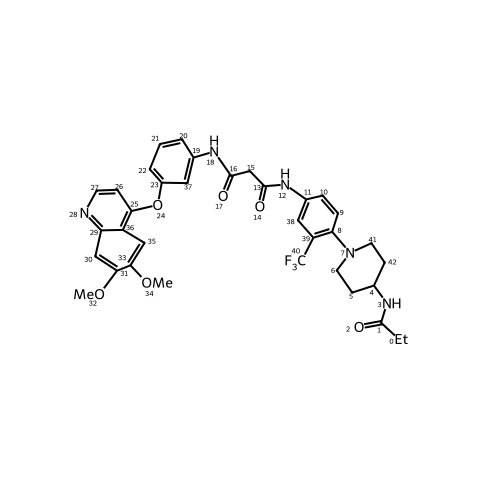 CCC(=O)NC1CCN(c2ccc(NC(=O)CC(=O)Nc3cccc(Oc4ccnc5cc(OC)c(OC)cc45)c3)cc2C(F)(F)F)CC1